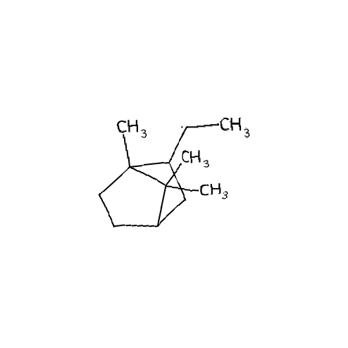 C[CH]C1CC2CCC1(C)C2(C)C